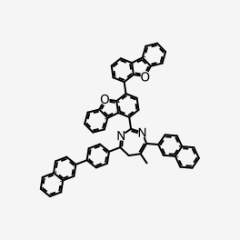 CC1=C(c2ccc3ccccc3c2)N=C(c2ccc(-c3cccc4c3oc3ccccc34)c3oc4ccccc4c23)N=C(c2ccc(-c3ccc4ccccc4c3)cc2)C1